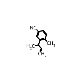 [CH2]C(C=C)c1cc(C#N)ccc1C